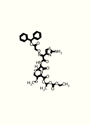 CCOC(=O)OC(C)OC(=O)C1=C(SC)CS[C@H]2C(NC(=O)C(=NOCC(=O)OC(c3ccccc3)c3ccccc3)c3csc(N)n3)C(=O)N12